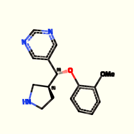 COc1ccccc1O[C@@H](c1cncnc1)[C@H]1CCNC1